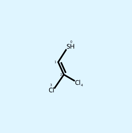 SC=C(Cl)Cl